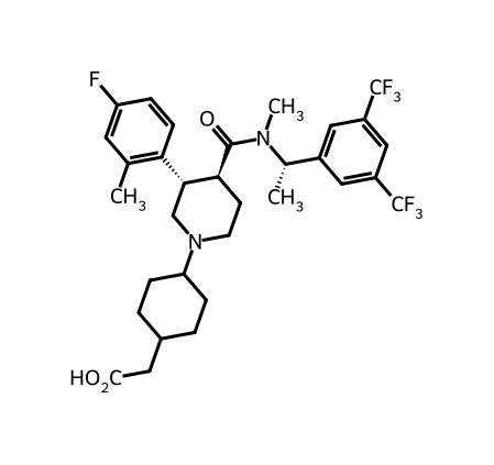 Cc1cc(F)ccc1[C@H]1CN(C2CCC(CC(=O)O)CC2)CC[C@@H]1C(=O)N(C)[C@@H](C)c1cc(C(F)(F)F)cc(C(F)(F)F)c1